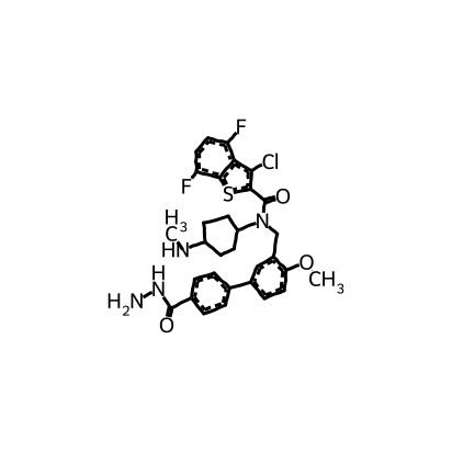 CNC1CCC(N(Cc2cc(-c3ccc(C(=O)NN)cc3)ccc2OC)C(=O)c2sc3c(F)ccc(F)c3c2Cl)CC1